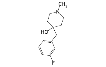 CN1CCC(O)(Cc2cccc(F)c2)CC1